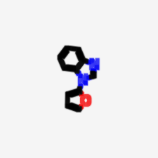 c1coc(-n2cnc3ccccc32)c1